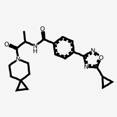 CC(NC(=O)c1ccc(-c2noc(C3CC3)n2)cc1)C(=O)N1CCC2(CC1)CC2